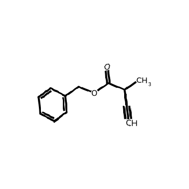 C#CC(C)C(=O)OCc1ccccc1